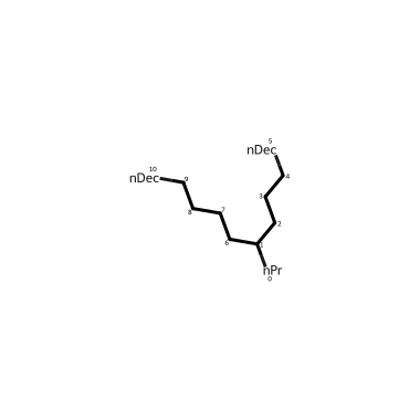 [CH2]CCC(CCCCCCCCCCCCC)CCCCCCCCCCCCCC